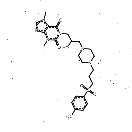 Cn1cnc2c1c(=O)n(CC(O)CN1CCN(CCCS(=O)(=O)c3ccc(C(F)(F)F)cc3)CC1)c(=O)n2C